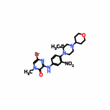 C[C@H]1CN(C2CCOCC2)CCN1c1ccc(Nc2nc(Br)cn(C)c2=O)cc1[N+](=O)[O-]